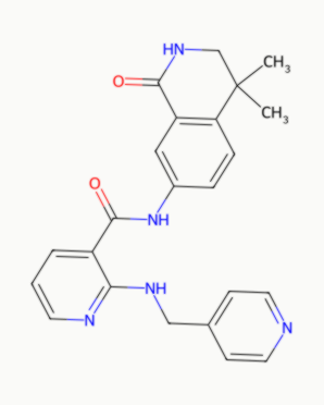 CC1(C)CNC(=O)c2cc(NC(=O)c3cccnc3NCc3ccncc3)ccc21